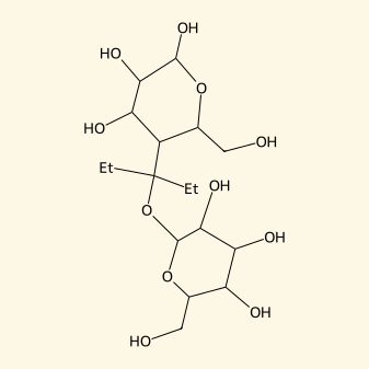 CCC(CC)(OC1OC(CO)C(O)C(O)C1O)C1C(CO)OC(O)C(O)C1O